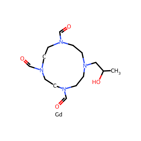 CC(O)CN1CCN(C=O)CCN(C=O)CCN(C=O)CC1.[Gd]